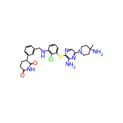 CC1(N)CCN(c2cnc(Sc3cccc(NCc4cccc(C5CCC(=O)NC5=O)c4)c3Cl)c(N)n2)CC1